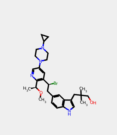 CO[C@@H](C)c1ncc(N2CCN(C3CC3)CC2)cc1[C@@H](Br)Cc1ccc2[nH]cc(CC(C)(C)CO)c2c1